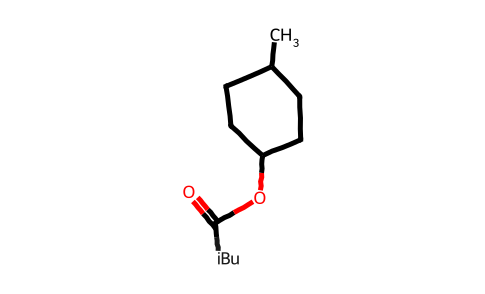 CCC(C)C(=O)OC1CCC(C)CC1